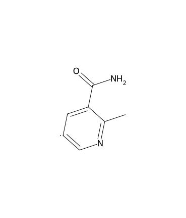 Cc1nc[c]cc1C(N)=O